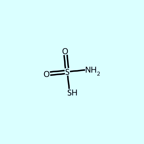 NS(=O)(=O)S